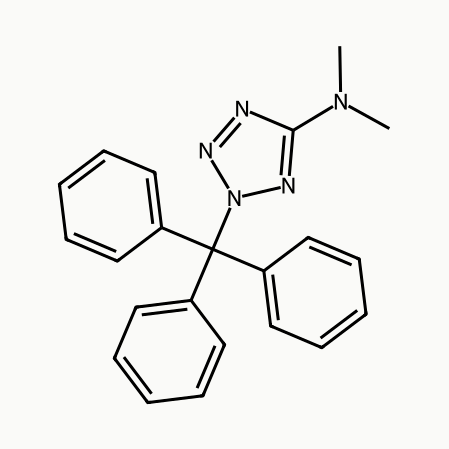 CN(C)c1nnn(C(c2ccccc2)(c2ccccc2)c2ccccc2)n1